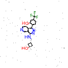 C[C@]1(O)C[C@H](CNc2nnc(-c3ccc(C(F)(F)F)cc3O)c3ccncc23)C1